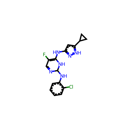 FC1=C(Nc2cc(C3CC3)[nH]n2)NC(Nc2ccccc2Cl)N=C1